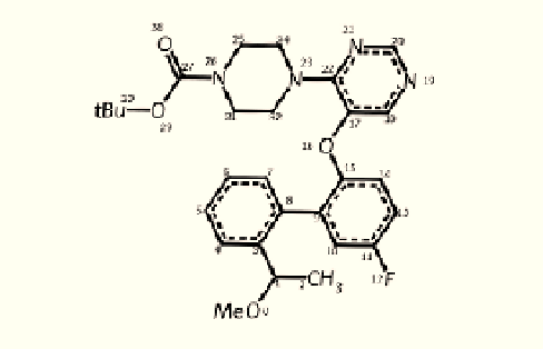 COC(C)c1ccccc1-c1cc(F)ccc1Oc1cncnc1N1CCN(C(=O)OC(C)(C)C)CC1